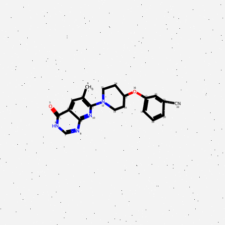 Cc1cc2c(=O)[nH]cnc2nc1N1CCC(Oc2cccc(C#N)c2)CC1